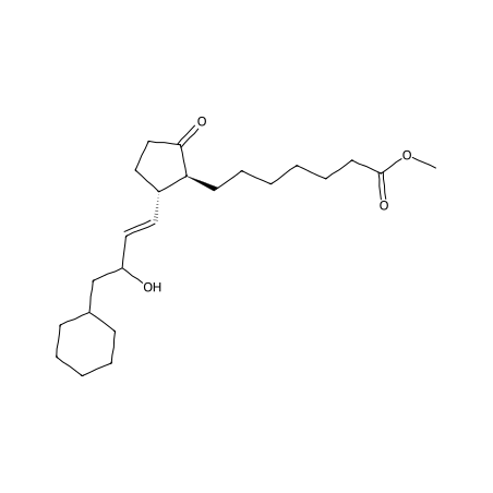 COC(=O)CCCCCC[C@@H]1C(=O)CC[C@H]1C=CC(O)CC1CCCCC1